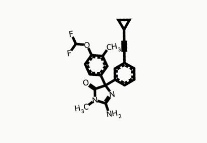 Cc1cc(C2(c3cccc(C#CC4CC4)c3)N=C(N)N(C)C2=O)ccc1OC(F)F